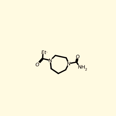 C[CH]C(=O)N1CCCN(C(N)=O)CC1